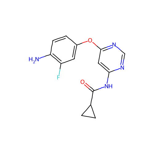 Nc1ccc(Oc2cc(NC(=O)C3CC3)ncn2)cc1F